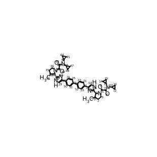 C[C@@H]1CCN(C(=O)C(=O)N(C2CC2)C2CC2)C1c1nc(-c2ccc(-c3ccc(-c4c[nH]c([C@@H]5[C@H](C)CCN5C(=O)C(=O)N(C5CC5)C5CC5)n4)cc3)cc2)c[nH]1